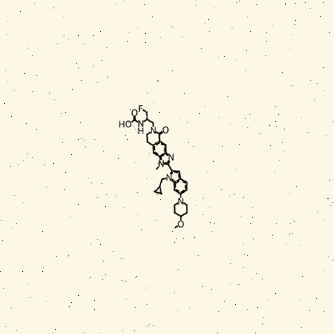 COC1CCN(c2ccc3cc(-c4nc5cc6c(cc5n4C)CCN(CC(CF)NC(=O)O)C6=O)n(CC4CC4)c3c2)CC1